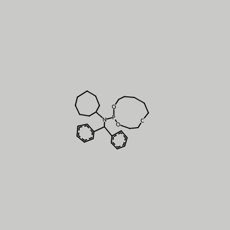 c1ccc(C(c2ccccc2)N(C2CCCCCCC2)P2OCCCCCCCCO2)cc1